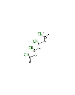 CC(Cl)CC(Cl)CC(Cl)CC(C)Cl